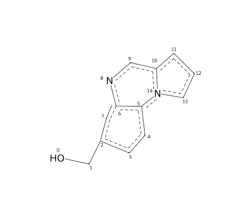 OCc1ccc2c(c1)ncc1cccn12